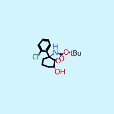 CC(C)(C)OC(=O)N[C@]1(c2ccccc2Cl)CCC[C@@H](O)C1=O